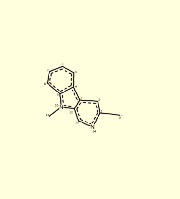 [CH2]c1cc2c3ccccc3n(C)c2cn1